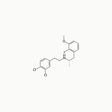 COc1cccc(C[C@H](C)NCCc2ccc(Cl)c(Cl)c2)c1I